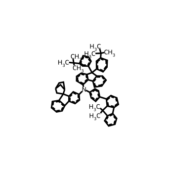 CC(C)(C)c1cccc(C2(c3cccc(C(C)(C)C)c3)c3ccccc3-c3c(N(c4ccc(-c5cccc6c5C(C)(C)c5ccccc5-6)cc4)c4ccc5c(c4)C4(CC6CCC4C6)c4ccccc4-5)cccc32)c1